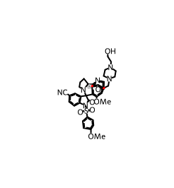 COc1ccc(S(=O)(=O)N2C(=O)C(c3ccc(CN4CCN(CCO)CC4)cc3OC)(N3CCC[C@H]3c3ncco3)c3cc(C#N)ccc32)cc1